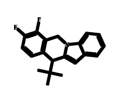 CC(C)(C)C1c2ccc(F)c(F)c2Cn2c1cc1ccccc12